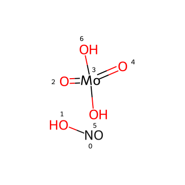 O=NO.[O]=[Mo](=[O])([OH])[OH]